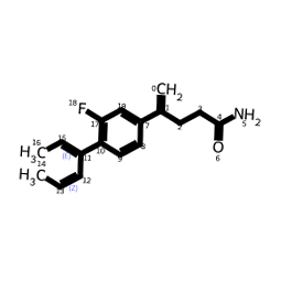 C=C(CCC(N)=O)c1ccc(C(/C=C\C)=C/C)c(F)c1